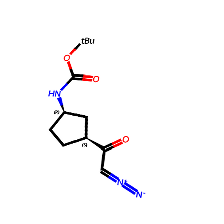 CC(C)(C)OC(=O)N[C@@H]1CC[C@H](C(=O)C=[N+]=[N-])C1